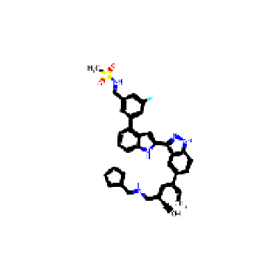 C#C/C(=C\C(=C/C)c1ccc2[nH]nc(-c3cc4c(-c5cc(F)cc(CNS(C)(=O)=O)c5)cccc4[nH]3)c2c1)CNCC1CCCC1